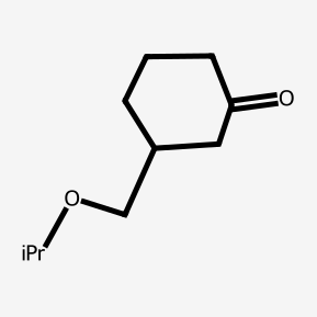 CC(C)OCC1CCCC(=O)C1